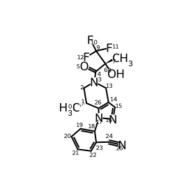 C[C@@H]1CN(C(=O)[C@@](C)(O)C(F)(F)F)Cc2cnn(-c3ccccc3C#N)c21